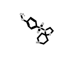 COc1ccc(S(=O)(=O)N2CCSC23CCNCC3)cc1